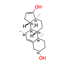 C[C@H]1C=C2C[C@@H](O)CC[C@]2(C)[C@H]2CC[C@]3(C)C(O)=CC[C@H]3[C@H]12